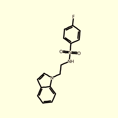 O=S(=O)(NCCn1ccc2ccccc21)c1ccc(F)cc1